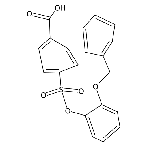 O=C(O)c1ccc(S(=O)(=O)Oc2ccccc2OCc2ccccc2)cc1